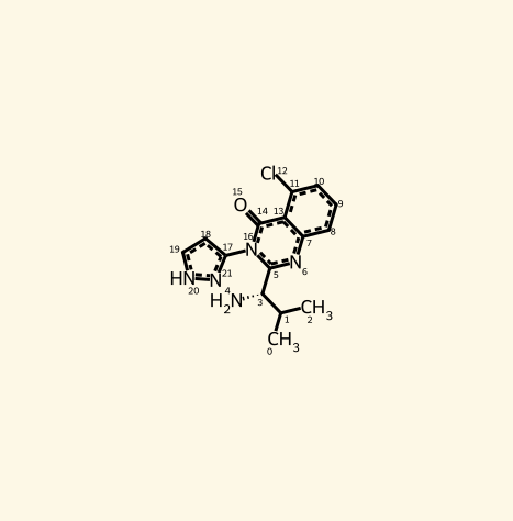 CC(C)[C@H](N)c1nc2cccc(Cl)c2c(=O)n1-c1cc[nH]n1